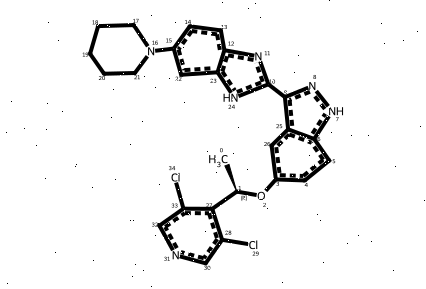 C[C@@H](Oc1ccc2[nH]nc(-c3nc4ccc(N5CCCCC5)cc4[nH]3)c2c1)c1c(Cl)cncc1Cl